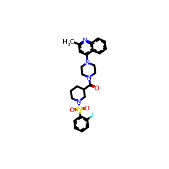 Cc1cc(N2CCN(C(=O)C3CCCN(S(=O)(=O)c4ccccc4F)C3)CC2)c2ccccc2n1